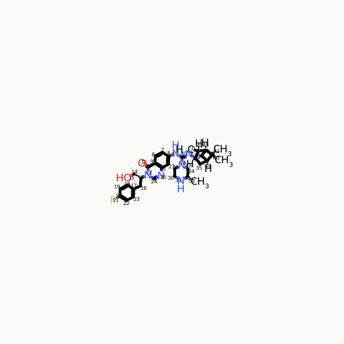 C[C@@H]1[C@@H](/N=C(/Nc2ccc3c(=O)n([C@H](CO)Cc4ccc(F)cc4)cnc3c2)N2CCN[C@@H](C)C2)C[C@H]2C[C@@H]1C2(C)C